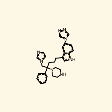 c1ccc(C(CCCc2c[nH]c3ccc(-n4cnnc4)cc23)(Cn2ccnc2)N2CCNCC2)cc1